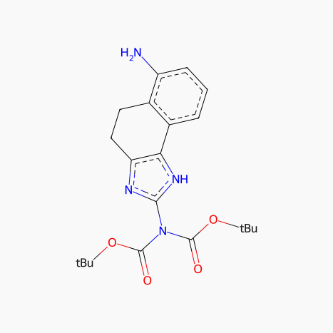 CC(C)(C)OC(=O)N(C(=O)OC(C)(C)C)c1nc2c([nH]1)-c1cccc(N)c1CC2